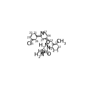 Cc1cccc(N(N)C(=O)NN)c1COc1ccnc(-c2cccc(Cl)c2)c1